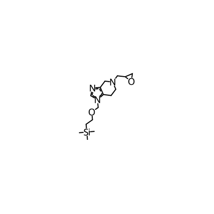 C[Si](C)(C)CCOCn1cnc2c1CCN(CC1CO1)C2